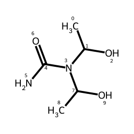 CC(O)N(C(N)=O)C(C)O